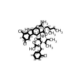 CCC(C)[C@@H](C(=O)N[C@]1(C(=O)N(C[C@@H](C)CC)C(N)=O)CCc2[nH]c3c(Cl)cc(Cl)cc3c2C1)N(Cc1ccccc1Cl)C(=O)O